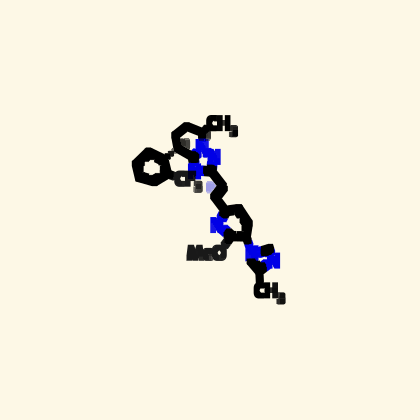 COc1nc(/C=C/c2nc3n(n2)[C@H](C)CC[C@H]3c2ccccc2C(F)(F)F)ccc1-n1cnc(C)c1